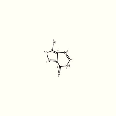 CC(C)c1snc2c(=O)[nH]cnc12